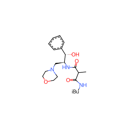 CCC(C)NC(=O)C(C)C(=O)N[C@@H](CN1CCOCC1)[C@@H](O)c1ccccc1